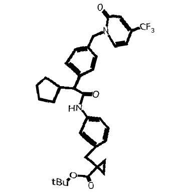 CC(C)(C)OC(=O)C1(Cc2cccc(NC(=O)C(c3ccc(Cn4ccc(C(F)(F)F)cc4=O)cc3)C3CCCC3)c2)CC1